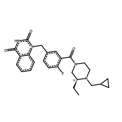 CC[C@H]1CN(C(=O)c2cc(Cn3c(=O)[nH]c(=O)c4ccccc43)ccc2F)CCN1CC1CC1